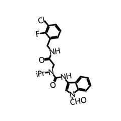 CC(C)N(CC(=O)NCc1cccc(Cl)c1F)C(=O)Nc1cn(C=O)c2ccccc12